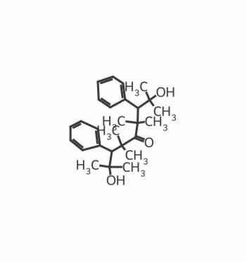 CC(C)(O)C(c1ccccc1)C(C)(C)C(=O)C(C)(C)C(c1ccccc1)C(C)(C)O